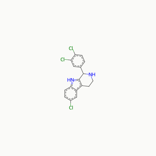 Clc1ccc2[nH]c3c(c2c1)CCNC3c1ccc(Cl)c(Cl)c1